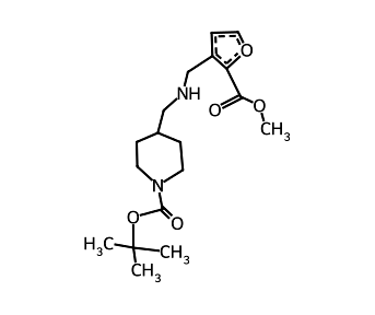 COC(=O)c1occc1CNCC1CCN(C(=O)OC(C)(C)C)CC1